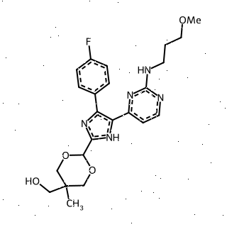 COCCCNc1nccc(-c2[nH]c(C3OCC(C)(CO)CO3)nc2-c2ccc(F)cc2)n1